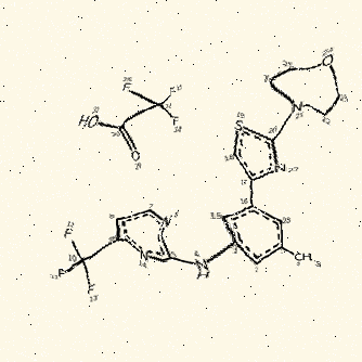 Cc1cc(Nc2nccc(C(F)(F)F)n2)cc(-c2csc(N3CCOCC3)n2)c1.O=C(O)C(F)(F)F